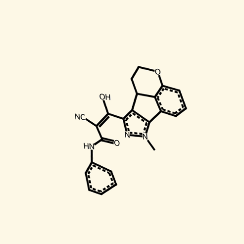 Cn1nc(C(O)=C(C#N)C(=O)Nc2ccccc2)c2c1-c1cccc3c1C2CCO3